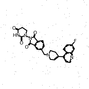 O=C1CCN(N2C(=O)c3ccc(CN4CC=C(c5ccnc6cc(F)ccc56)CC4)cc3C2=O)C(=O)N1